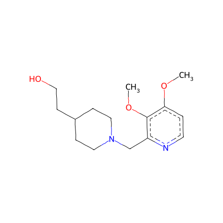 COc1ccnc(CN2CCC(CCO)CC2)c1OC